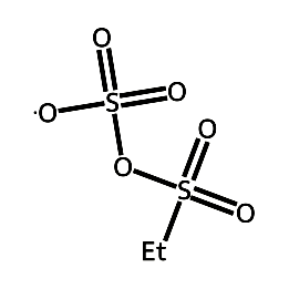 CCS(=O)(=O)OS([O])(=O)=O